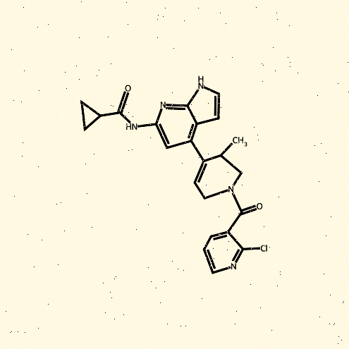 CC1CN(C(=O)c2cccnc2Cl)CC=C1c1cc(NC(=O)C2CC2)nc2[nH]ccc12